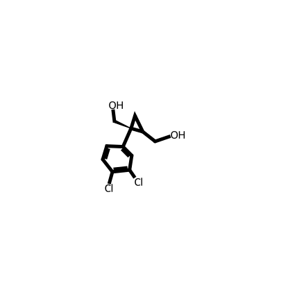 OCC1C[C@@]1(CO)c1ccc(Cl)c(Cl)c1